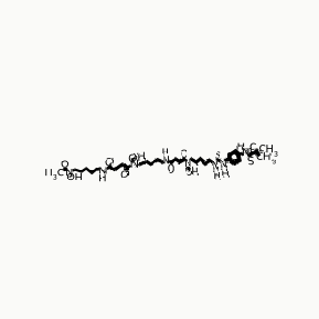 CC(=O)N(O)CCCCCNC(=O)CCC(=O)N(O)CCCCCNC(=O)CCC(=O)N(O)CCCCCNC(=S)Nc1ccc(NC(=S)C(C)(C)C)cc1